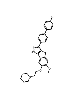 COc1cc2c(cc1OCCN1CCCCC1)-c1[nH]nc(-c3ccc(-c4ccc(O)cc4)cc3)c1C2